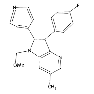 COCN1c2cc(C)cnc2C(c2ccc(F)cc2)C1c1ccncc1